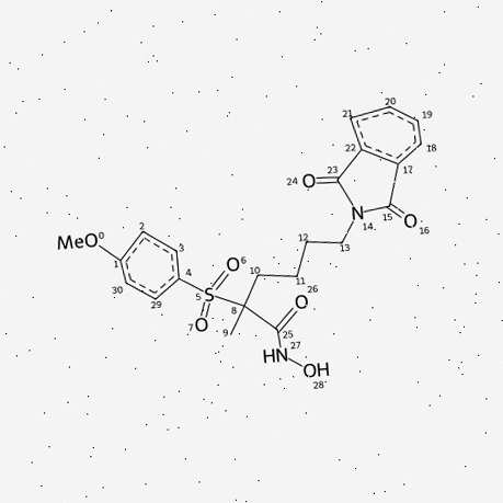 COc1ccc(S(=O)(=O)C(C)(CCCCN2C(=O)c3ccccc3C2=O)C(=O)NO)cc1